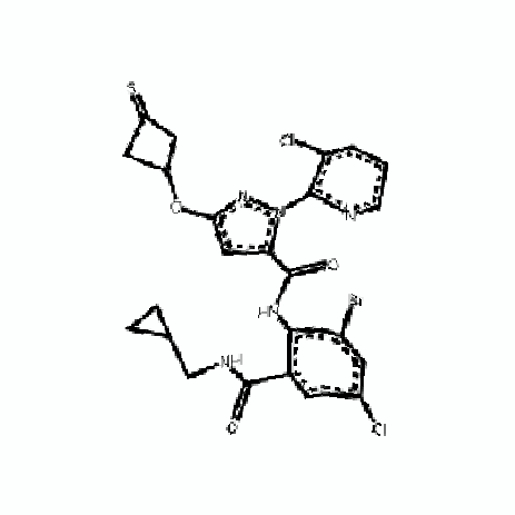 O=C(NCC1CC1)c1cc(Cl)cc(Br)c1NC(=O)c1cc(OC2CC(=S)C2)nn1-c1ncccc1Cl